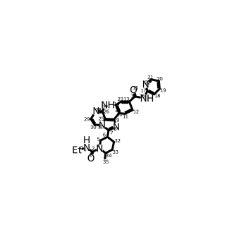 CCNC(=O)N1CC(c2nc(-c3ccc(C(=O)Nc4ccccn4)cc3)c3c(N)nccn23)CCC1C